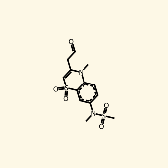 CN1C(CC=O)=CS(=O)(=O)c2cc(N(C)S(C)(=O)=O)ccc21